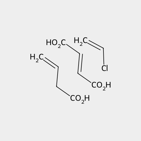 C=CCC(=O)O.C=CCl.O=C(O)C=CC(=O)O